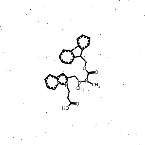 CN(Cc1cc2ccccc2n1CCC(=O)O)N(C)C(=O)OCC1c2ccccc2-c2ccccc21